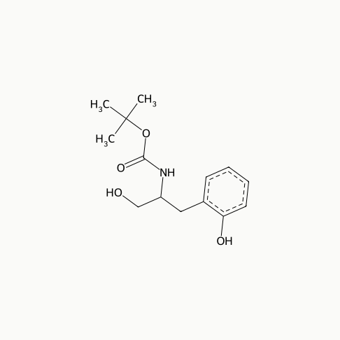 CC(C)(C)OC(=O)NC(CO)Cc1ccccc1O